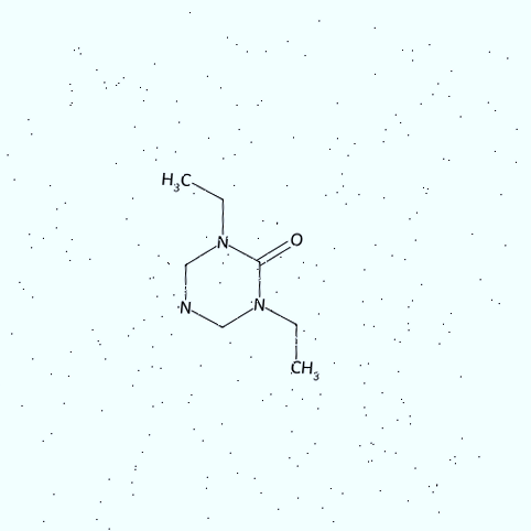 CCN1C[N]CN(CC)C1=O